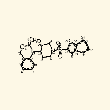 O=CC1OCc2ccccc2N1C1CCN(S(=O)(=O)c2cc3ccccc3s2)CC1